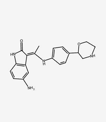 CC(Nc1ccc(C2CNCCO2)cc1)=C1C(=O)Nc2ccc(N)cc21